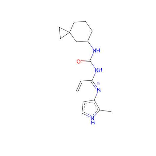 C=C/C(=N\c1cc[nH]c1C)NC(=O)NC1CCCC2(CC2)C1